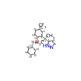 CC(C)(c1ccn[nH]1)c1cc(C(F)(F)F)ccc1OCc1ccccc1